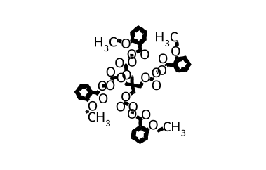 CCOc1ccccc1C(=O)OOC(=O)OCC(COC(=O)OOC(=O)c1ccccc1OCC)(COC(=O)OOC(=O)c1ccccc1OCC)COC(=O)OOC(=O)c1ccccc1OCC